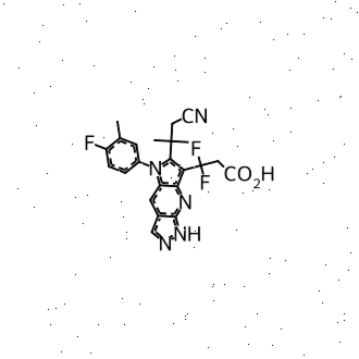 Cc1cc(-n2c(C(C)(C)CC#N)c(C(F)(F)CC(=O)O)c3nc4[nH]ncc4cc32)ccc1F